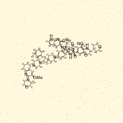 COc1cc2c(nc1N1CCOC[C@@H]1C)CCC[C@@H]2N1CCN(C2CC3(CCN(c4ccc(C(=O)NS(=O)(=O)c5cc6c(c([N+](=O)[O-])c5)N[C@H](C5CCOCC5)CO6)c(N5c6cc7cc[nH]c7nc6O[C@H]6COCC[C@@H]65)c4)CC3)C2)[C@H](c2ccccc2C)C1